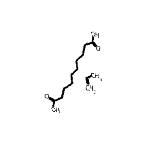 C=CC.O=C(O)CCCCCCCCC(=O)O